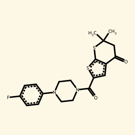 CC1(C)CC(=O)c2cc(C(=O)N3CCN(c4ccc(F)cc4)CC3)sc2S1